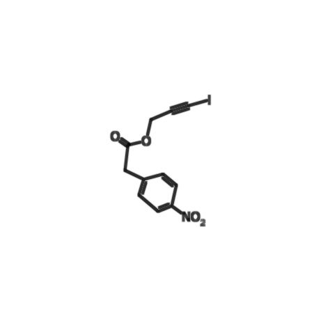 O=C(Cc1ccc([N+](=O)[O-])cc1)OCC#CI